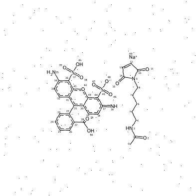 CC(=O)NCCCCCN1C(=O)C=CC1=O.N=c1ccc2c(-c3ccccc3C(=O)O)c3ccc(N)c(S(=O)(=O)O)c3oc-2c1S(=O)(=O)[O-].[Na+]